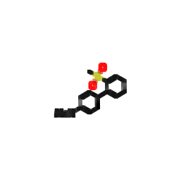 CNc1ccc(-c2ccccc2S(C)(=O)=O)cc1